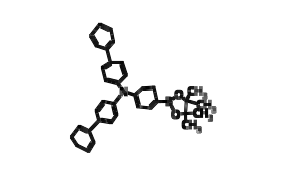 CC1(C)OB(c2ccc(N(c3ccc(C4=CCCC=C4)cc3)c3ccc(-c4ccccc4)cc3)cc2)OC1(C)C